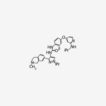 CC(C)Nc1cc(Oc2ccc(NC(=O)Nc3cn(C(C)C)nc3-c3ccc4c(c3)CN(C)CC4)c(F)c2)ccn1